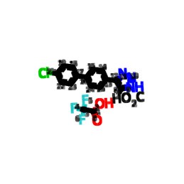 O=C(O)C(F)(F)F.O=C(O)c1[nH]nnc1-c1ccc(-c2ccc(Cl)cc2)cc1